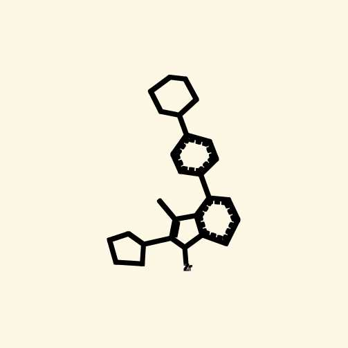 CC1=C(C2CCCC2)[CH]([Zr])c2cccc(-c3ccc(C4CCCCC4)cc3)c21